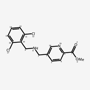 COC(=O)c1ccc(CNCc2c(Cl)cccc2Cl)cn1